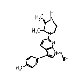 C=C1NCCN(c2ccc3c(-c4ccc(C)cc4)cn(CC(C)C)c3n2)C1C